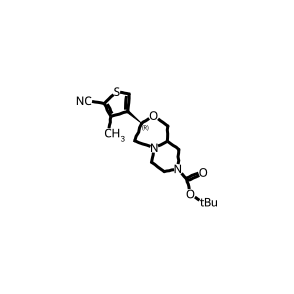 Cc1c([C@@H]2CN3CCN(C(=O)OC(C)(C)C)CC3CO2)csc1C#N